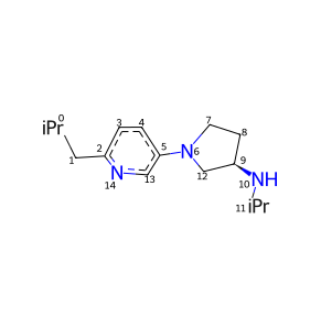 CC(C)Cc1ccc(N2CC[C@@H](NC(C)C)C2)cn1